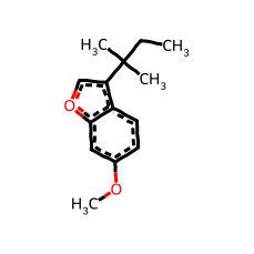 CCC(C)(C)c1coc2cc(OC)ccc12